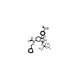 CC(C)(C)OC(=O)N1C[C@H](N(OCc2ccccc2)C(=O)Cl)CC[C@@]1(C(=O)O)c1ccc([N+](=O)[O-])cc1